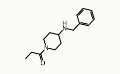 CCC(=O)N1CCC(NCc2ccccc2)CC1